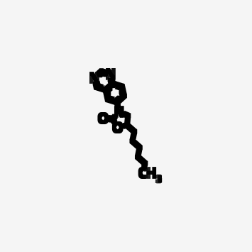 CCCCCCC1CN(c2ccc3ncncc3c2)C(=O)O1